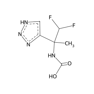 CC(NC(=O)O)(c1c[nH]nn1)C(F)F